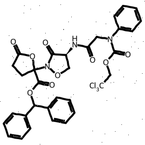 O=C(CN(C(=O)OCC(Cl)(Cl)Cl)c1ccccc1)N[C@H]1CON(C2(C(=O)OC(c3ccccc3)c3ccccc3)CCC(=O)O2)C1=O